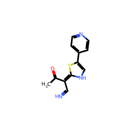 CC(=O)/C(C=N)=C1/NC=C(c2ccncc2)S1